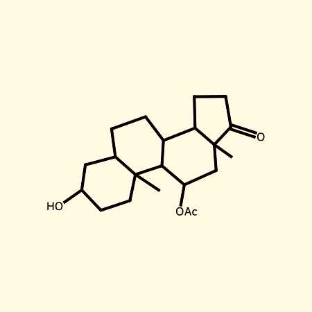 CC(=O)OC1CC2(C)C(=O)CCC2C2CCC3CC(O)CCC3(C)C12